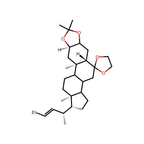 CC/C=C/[C@@H](C)[C@H]1CCC2C3CC4(OCCO4)[C@H]4CC5OC(C)(C)O[C@@H]5C[C@]4(C)C3CC[C@@]21C